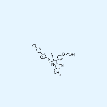 CCNc1nc(SCc2coc(-c3ccc(Cl)cc3)n2)c(C#N)c(-c2ccc(OCCO)cc2)c1C#N